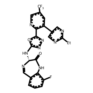 CCc1ncc(-c2cc(C(F)(F)F)cnc2-c2nnc(N[C@H]3N=Cc4cccc(F)c4NC3=O)o2)cn1